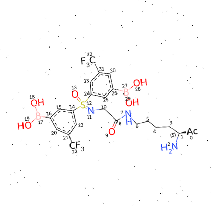 CC(=O)[C@@H](N)CCCCNC(=O)CN=S(=O)(c1cc(B(O)O)cc(C(F)(F)F)c1)c1cc(B(O)O)cc(C(F)(F)F)c1